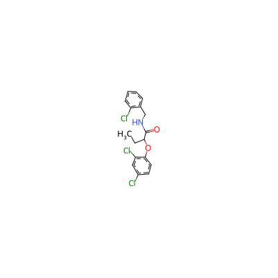 CCC(Oc1ccc(Cl)cc1Cl)C(=O)NCc1ccccc1Cl